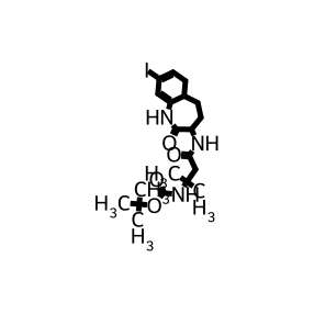 CC(C)(CC(=O)NC1CCC2CC=C(I)C=C2NC1=O)NC(=O)OC(C)(C)C